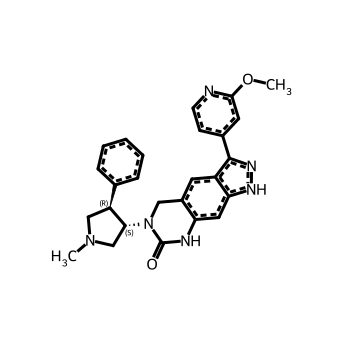 COc1cc(-c2n[nH]c3cc4c(cc23)CN([C@@H]2CN(C)C[C@H]2c2ccccc2)C(=O)N4)ccn1